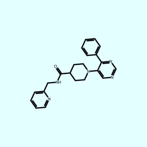 O=C(NCc1ccccn1)C1CCN(c2cncnc2-c2ccccc2)CC1